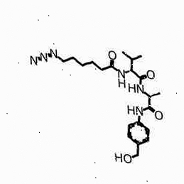 CC(C)[C@H](NC(=O)CCCCCN=[N+]=[N-])C(=O)N[C@@H](C)C(=O)Nc1ccc(CO)cc1